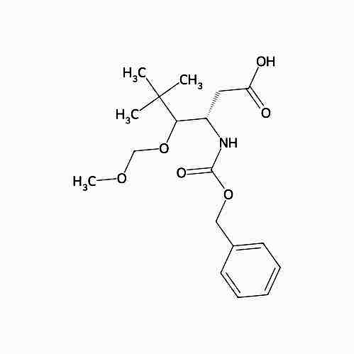 COCOC([C@H](CC(=O)O)NC(=O)OCc1ccccc1)C(C)(C)C